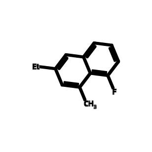 CCc1cc(C)c2c(F)cccc2c1